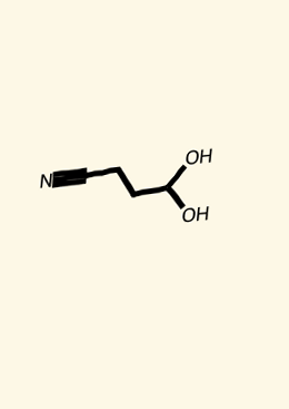 N#CCCC(O)O